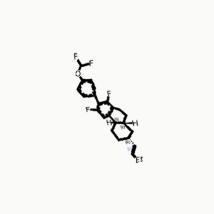 CC/C=C/[C@@H]1CC[C@@H]2c3cc(F)c(-c4ccc(OC(F)F)cc4)c(F)c3CC[C@@H]2C1